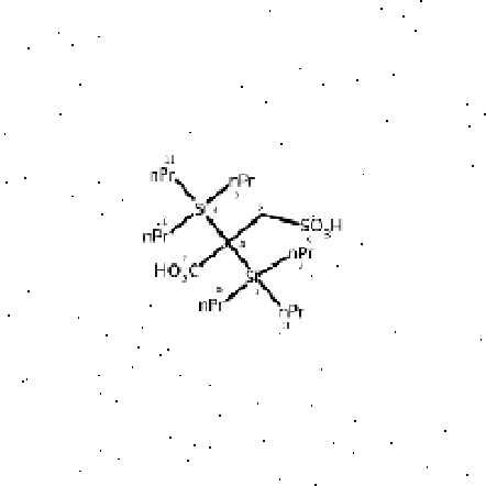 CCC[Si](CCC)(CCC)C(CS(=O)(=O)O)(C(=O)O)[Si](CCC)(CCC)CCC